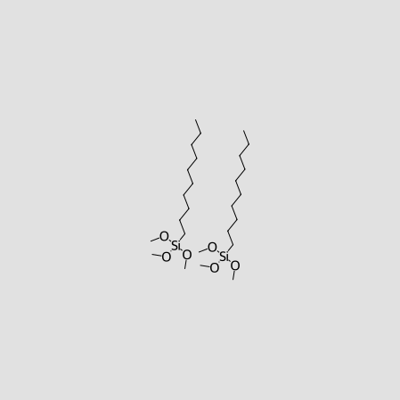 CCCCCCCCCC[Si](OC)(OC)OC.CCCCCCCCCC[Si](OC)(OC)OC